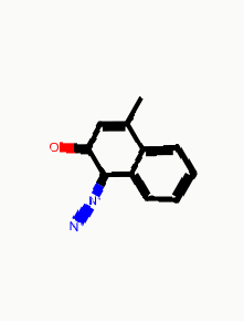 CC1=CC(=O)C(=[N+]=[N-])c2ccccc21